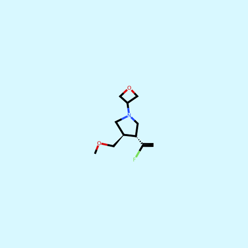 C=C(F)[C@H]1CN(C2COC2)C[C@@H]1COC